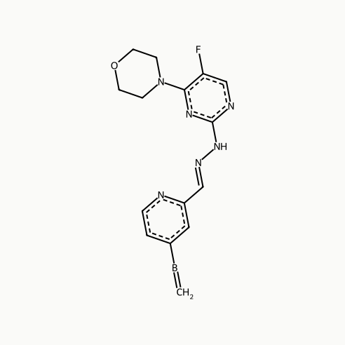 C=Bc1ccnc(/C=N/Nc2ncc(F)c(N3CCOCC3)n2)c1